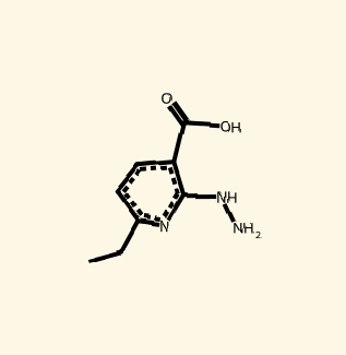 CCc1ccc(C(=O)O)c(NN)n1